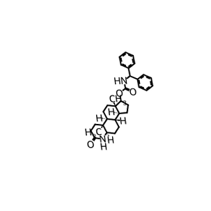 C[C@]12CCC(=O)N[C@@H]1CC[C@@H]1[C@@H]2CC[C@]2(C)[C@@H](OC(=O)NC(c3ccccc3)c3ccccc3)CC[C@@H]12